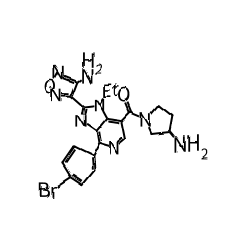 CCn1c(-c2nonc2N)nc2c(-c3ccc(Br)cc3)ncc(C(=O)N3CCC(N)C3)c21